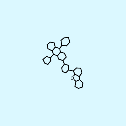 C1CCC(C2C3CCCCC3C(C3CCCCC3)C3CC(C4CCCC(C5CCCC6C7CCCCC7OC56)C4)CCC32)CC1